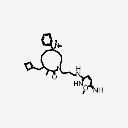 COC(=N)/C=C\C(=N)NCCCN1CCC[C@](c2ccccc2)(N(C)C)CCCC(CC2CCC2)C(C)C1=O